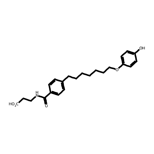 O=C(O)CCNC(=O)c1ccc(CCCCCCCOc2ccc(O)cc2)cc1